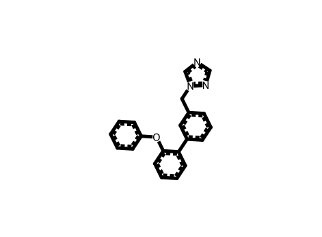 c1ccc(Oc2ccccc2-c2cccc(Cn3cncn3)c2)cc1